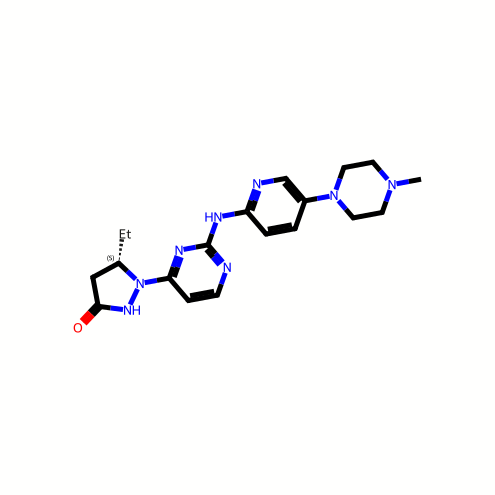 CC[C@H]1CC(=O)NN1c1ccnc(Nc2ccc(N3CCN(C)CC3)cn2)n1